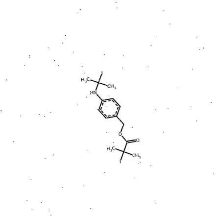 CC(C)(I)Nc1ccc(COC(=O)C(C)(C)I)cc1